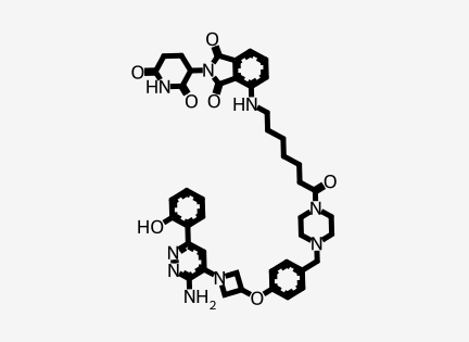 Nc1nnc(-c2ccccc2O)cc1N1CC(Oc2ccc(CN3CCN(C(=O)CCCCCCNc4cccc5c4C(=O)N(C4CCC(=O)NC4=O)C5=O)CC3)cc2)C1